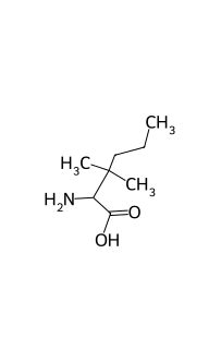 CCCC(C)(C)C(N)C(=O)O